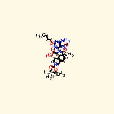 CCCCOc1nc(N)c([N+](=O)[O-])c(N(CC(=O)O)CC2(C)C=CC3=C(CCN(C(=O)OC(C)(C)C)C3)C2)n1